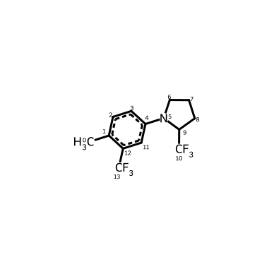 Cc1ccc(N2CCCC2C(F)(F)F)cc1C(F)(F)F